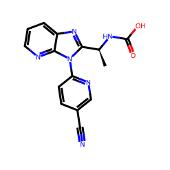 C[C@H](NC(=O)O)c1nc2cccnc2n1-c1ccc(C#N)cn1